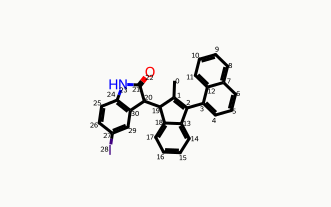 CC1=C(c2cccc3ccccc23)c2ccccc2C1C1C(=O)Nc2ccc(I)cc21